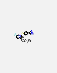 CCOC(=O)Cc1c(C)c(Sc2ccc(-c3cnn(C)c3)cc2)n2cc(F)ccc12